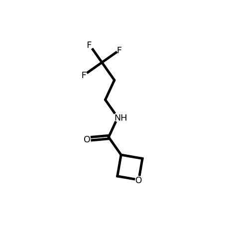 O=C(NCCC(F)(F)F)C1COC1